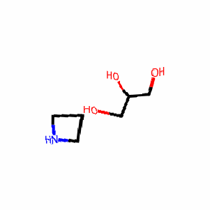 C1CNC1.OCC(O)CO